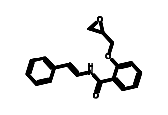 O=C(NC=Cc1ccccc1)c1ccccc1OCC1CO1